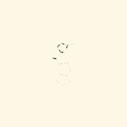 O=C(c1ccc(Cl)o1)N1CCC2CCNC2C1